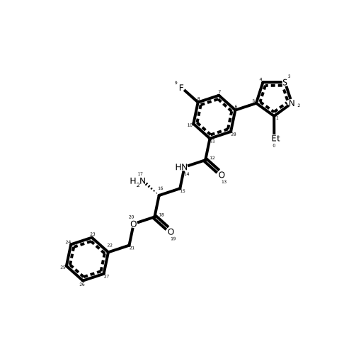 CCc1nscc1-c1cc(F)cc(C(=O)NC[C@@H](N)C(=O)OCc2ccccc2)c1